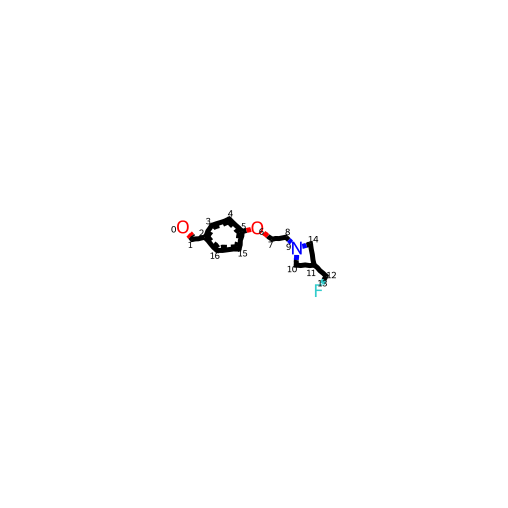 O=Cc1ccc(OCCN2CC(CF)C2)cc1